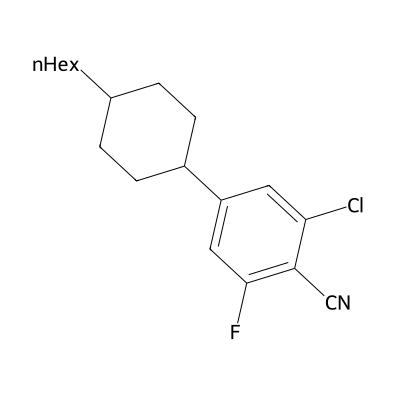 CCCCCCC1CCC(c2cc(F)c(C#N)c(Cl)c2)CC1